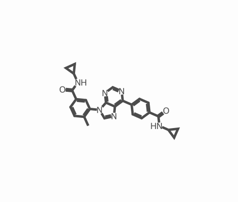 Cc1ccc(C(=O)NC2CC2)cc1-n1cnc2c(-c3ccc(C(=O)NC4CC4)cc3)ncnc21